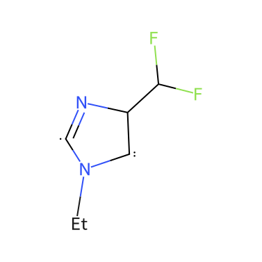 CCN1[C]C(C(F)F)N=[C]1